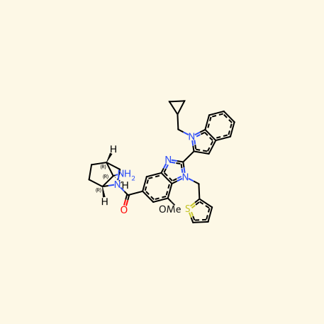 COc1cc(C(=O)N2C[C@H]3CC[C@@H]2[C@@H]3N)cc2nc(-c3cc4ccccc4n3CC3CC3)n(Cc3cccs3)c12